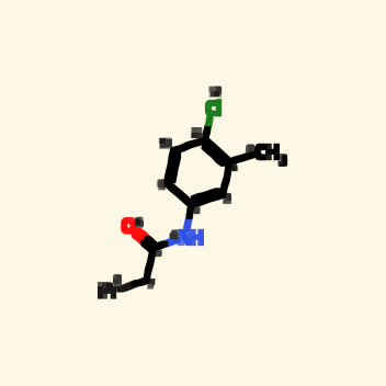 Cc1cc(NC(=O)CC(C)C)ccc1Cl